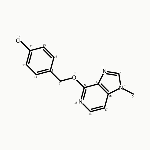 Cn1cnc2c(OCc3ccc(Cl)cc3)nccc21